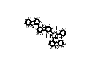 c1ccc(C2NC(c3ccc4oc5c(-c6cccc7c6sc6ccccc67)cccc5c4c3)NC(c3cccc4oc5ccccc5c34)N2)cc1